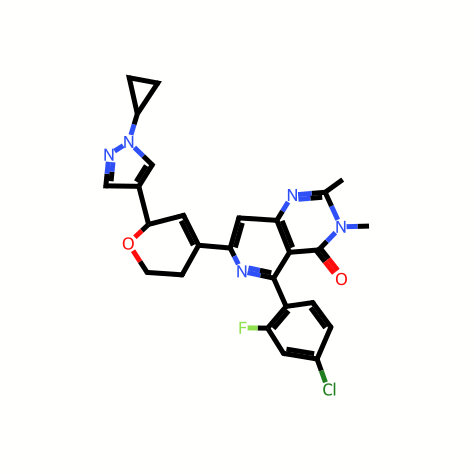 Cc1nc2cc(C3=CC(c4cnn(C5CC5)c4)OCC3)nc(-c3ccc(Cl)cc3F)c2c(=O)n1C